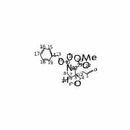 C=CC[C@]12COC[C@H]1CN(C(=O)OCc1ccccc1)[C@@H]2C(=O)OC